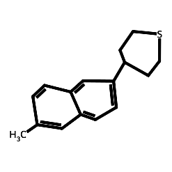 Cc1ccc2cc(C3CCSCC3)ccc2c1